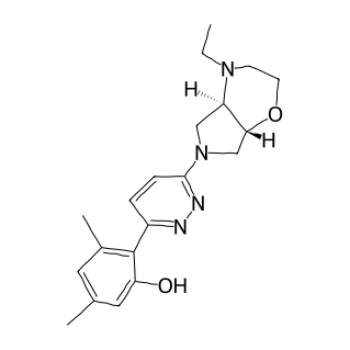 CCN1CCO[C@@H]2CN(c3ccc(-c4c(C)cc(C)cc4O)nn3)C[C@H]21